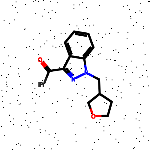 CC(C)C(=O)c1nn(CC2CCOC2)c2ccccc12